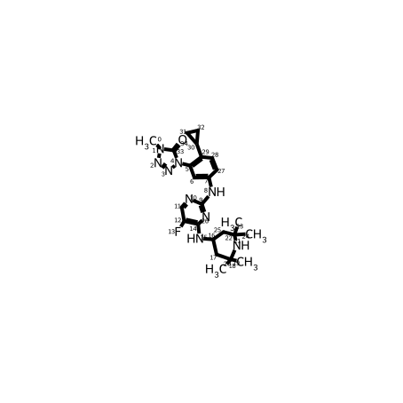 Cn1nnn(-c2cc(Nc3ncc(F)c(NC4CC(C)(C)NC(C)(C)C4)n3)ccc2C2CC2)c1=O